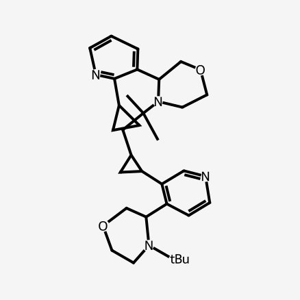 CC(C)(C)N1CCOCC1c1ccncc1C1CC1CC(C)(C)N1CCOCC1c1cccnc1C1CC1